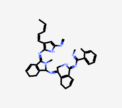 C=Nc1cc(/C=C\C=C/C)c(/N=C2/C3=C(CCC=C3)C(/N=C3\CN/C(=N\C(=N\C)c4ccccc4C)C4=C3CCC=C4)N2C)[nH]1